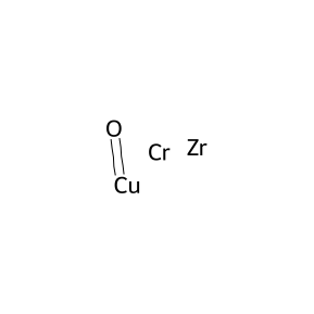 [Cr].[O]=[Cu].[Zr]